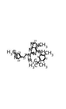 Cc1ccc(C(C)(C)C)cc1Nc1nc(NCCc2cnn(C)c2)nc2ncn(C)c12